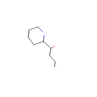 CCCCCCCC(O)C1CCCCN1